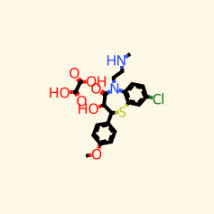 CNCCN1C(=O)C(O)C(c2ccc(OC)cc2)Sc2cc(Cl)ccc21.O=C(O)C(=O)O